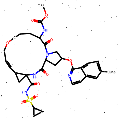 COc1ccc2c(OC3CC4C(=O)NC5(C(=O)NS(=O)(=O)C6CC6)CC5/C=C\COCCCC(NC(=O)OC(C)(C)C)C(=O)N4C3)nccc2c1